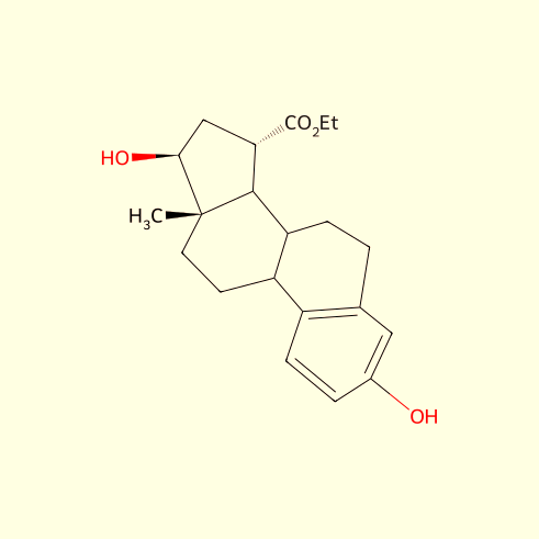 CCOC(=O)[C@H]1C[C@H](O)[C@@]2(C)CCC3c4ccc(O)cc4CCC3C12